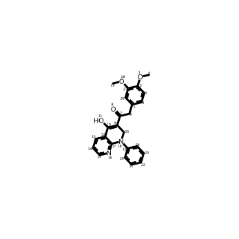 COc1ccc(CC(=O)C2=C(O)c3cccnc3N(c3ccccc3)C2)cc1OC